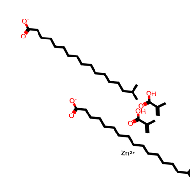 C=C(C)C(=O)O.C=C(C)C(=O)O.CC(C)CCCCCCCCCCCCCCC(=O)[O-].CC(C)CCCCCCCCCCCCCCC(=O)[O-].[Zn+2]